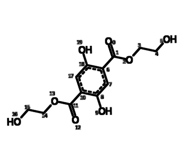 O=C(OCCO)c1cc(O)c(C(=O)OCCO)cc1O